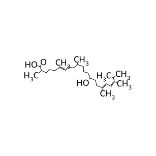 C/C(=C/C=C(\C)CCC(O)CCCC(C)CC/C=C(\C)CCCC(C)C(=O)O)C(C)C